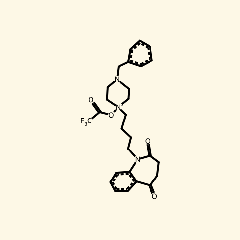 O=C1CCC(=O)N(CCCC[N+]2(OC(=O)C(F)(F)F)CCN(Cc3ccccc3)CC2)c2ccccc21